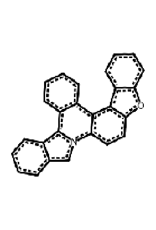 c1ccc2c(c1)cn1c3ccc4oc5ccccc5c4c3c3ccccc3c21